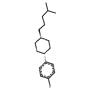 CC(C)CCC[C@H]1CC[C@H](c2ccc(F)cc2)CC1